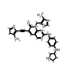 CC1=C(C#Cc2cc3cnc(Nc4ccc(NC5CCNC5)cc4)nc3n(Cc3ocnc3C)c2=O)N=CC1